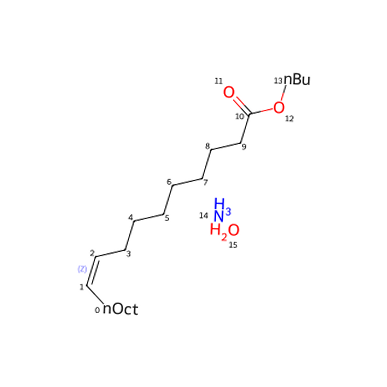 CCCCCCCC/C=C\CCCCCCCC(=O)OCCCC.N.O